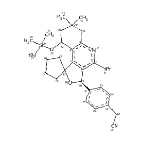 CC(C)c1nc2c(c3c1[C@@H](c1ccc(CC#N)cc1)OC31CCCC1)C(O[Si](C)(C)C(C)(C)C)CC(C)(C)C2